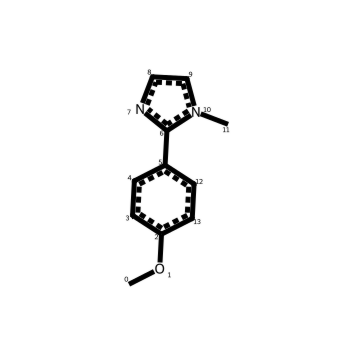 COc1[c]cc(-c2nccn2C)cc1